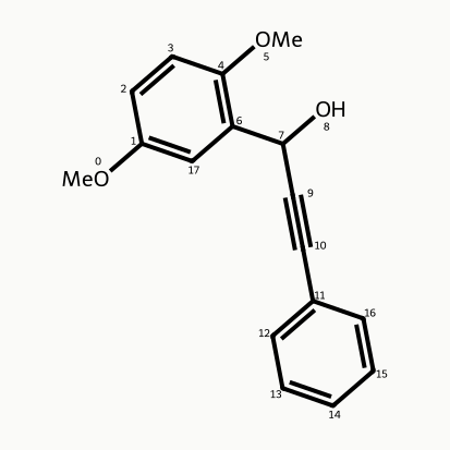 COc1ccc(OC)c(C(O)C#Cc2ccccc2)c1